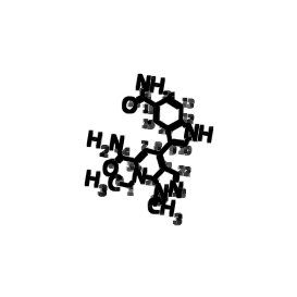 CCN1C(C(N)=O)=CC(c2c[nH]c3ccc(C(N)=O)cc23)=C2C=NN(C)C21